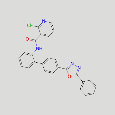 O=C(Nc1ccccc1-c1ccc(-c2nnc(-c3ccccc3)o2)cc1)c1cccnc1Cl